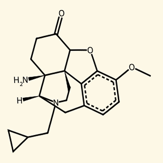 COc1ccc2c3c1OC1C(=O)CC[C@@]4(N)[C@@H](C2)N(CC2CC2)CC[C@]314